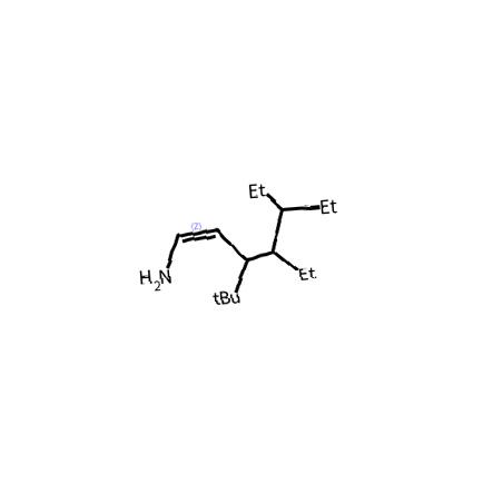 CCC(CC)C(CC)C(/C=C\N)C(C)(C)C